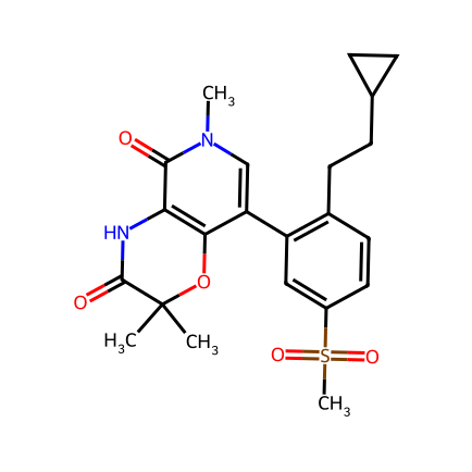 Cn1cc(-c2cc(S(C)(=O)=O)ccc2CCC2CC2)c2c(c1=O)NC(=O)C(C)(C)O2